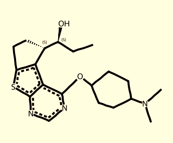 CC[C@H](O)[C@H]1CCc2sc3ncnc(OC4CCC(N(C)C)CC4)c3c21